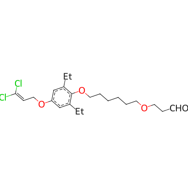 CCc1cc(OCC=C(Cl)Cl)cc(CC)c1OCCCCCCOCCC=O